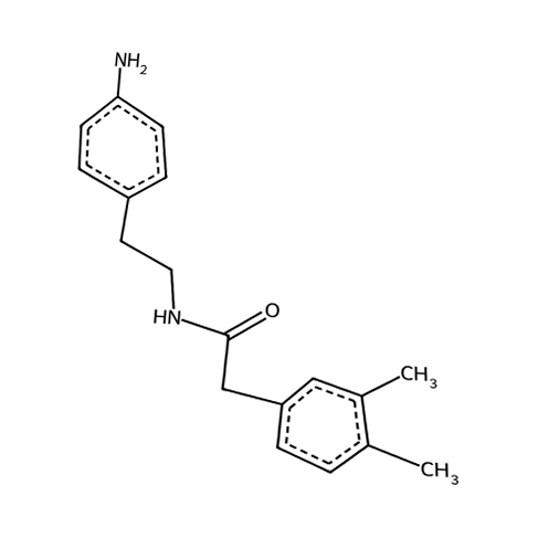 Cc1ccc(CC(=O)NCCc2ccc(N)cc2)cc1C